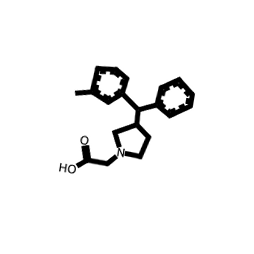 Cc1cccc(C(c2ccccc2)C2CCN(CC(=O)O)C2)c1